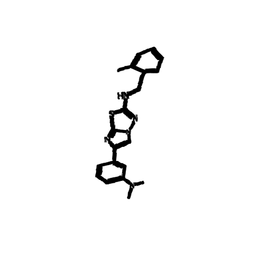 Cc1ccccc1CNc1nn2cc(-c3cccc(N(C)C)c3)nc2s1